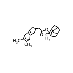 CC1C(C)C2CC1C1C3CC(CC(=O)OC4(C)C5CC6CC(C5)CC4C6)C(C3)C21